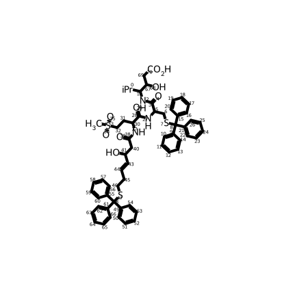 CC(C)C(NC(=O)C(CSC(c1ccccc1)(c1ccccc1)c1ccccc1)NC(=O)C(CCS(C)(=O)=O)NC(=O)CC(O)C=CCCSC(c1ccccc1)(c1ccccc1)c1ccccc1)C(O)CC(=O)O